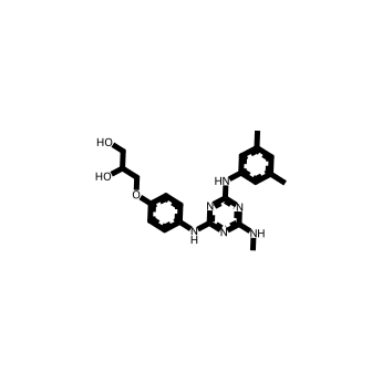 CNc1nc(Nc2ccc(OCC(O)CO)cc2)nc(Nc2cc(C)cc(C)c2)n1